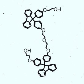 OCCOc1ccc(C2(c3ccc(OCCOCCOc4ccc(C5(c6ccc(OCCO)cc6)c6ccccc6-c6ccccc65)cc4)cc3)c3ccccc3-c3ccccc32)cc1